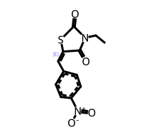 CCN1C(=O)S/C(=C/c2ccc([N+](=O)[O-])cc2)C1=O